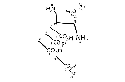 CC(=O)O.CC(=O)O.CC(=O)O.CC(=O)O.NCCN.O.[Na].[Na]